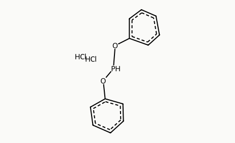 Cl.Cl.c1ccc(OPOc2ccccc2)cc1